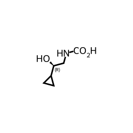 O=C(O)NC[C@H](O)C1CC1